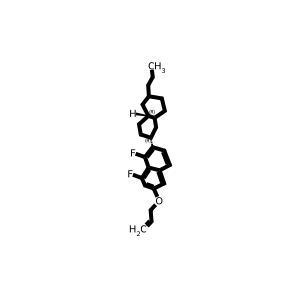 C=CCOc1cc(F)c2c(F)c([C@@H]3CC[C@@H]4CC(CCC)CCC4C3)ccc2c1